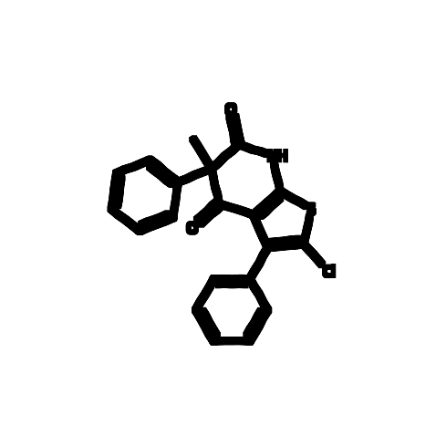 CC1(c2ccccc2)C(=O)Nc2sc(Cl)c(-c3ccccc3)c2C1=O